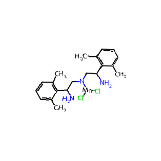 Cc1cccc(C)c1C(N)C[N](CC(N)c1c(C)cccc1C)[Mn]([Cl])[Cl]